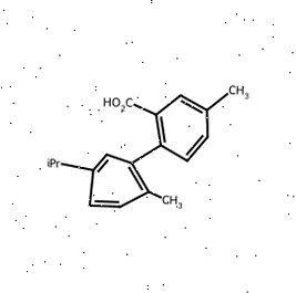 Cc1ccc(-c2cc(C(C)C)ccc2C)c(C(=O)O)c1